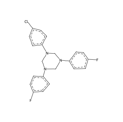 Fc1ccc(N2CN(c3ccc(F)cc3)CN(c3ccc(Cl)cc3)C2)cc1